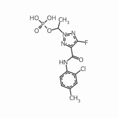 Cc1ccc(NC(=O)c2nn(C(C)OP(=O)(O)O)nc2F)c(Cl)c1